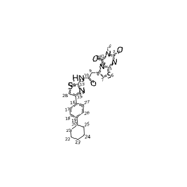 Cn1c(=O)nc2scc(CC(=O)Nc3nc(-c4ccc(C5CCCCC5)cc4)cs3)n2c1=O